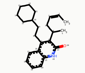 C/C=C\CC(C)c1c(CCC2CCCCC2)c2ccccc2[nH]c1=O